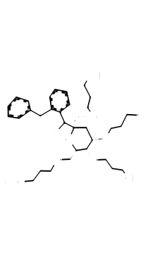 CCCCOC[C@H]1O[C@@](O)(C(F)c2ccccc2Cc2ccccc2)[C@H](OCCCC)[C@@H](OCCCC)[C@@H]1OCCCC